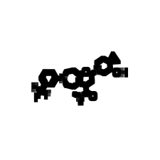 CN(C)C(=O)C(CCN1CCC2(CC2)[C@H](O)C1)N1CCN(c2cccc(C(F)(F)F)c2)CCC1=O